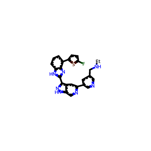 CCNCc1cncc(-c2cc3c(-c4nc5c(-c6ccc(F)s6)cccc5[nH]4)n[nH]c3cn2)c1